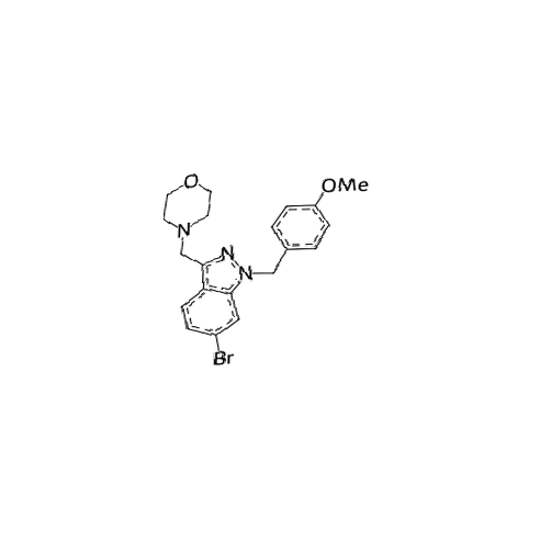 COc1ccc(Cn2nc(CN3CCOCC3)c3ccc(Br)cc32)cc1